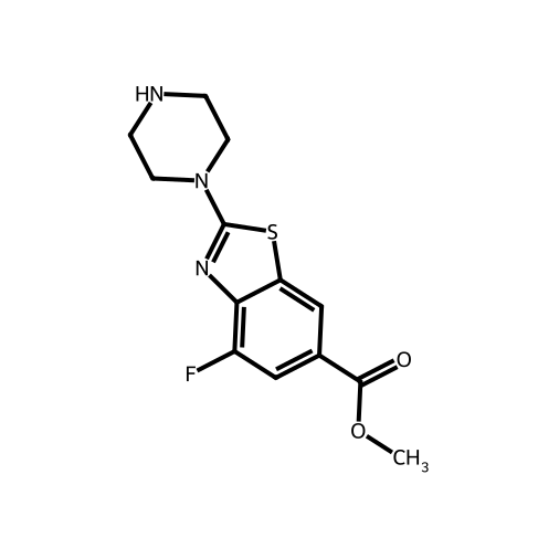 COC(=O)c1cc(F)c2nc(N3CCNCC3)sc2c1